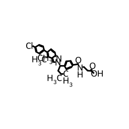 Cc1cc(Cl)ccc1-c1ccc2nn(C(CC(C)C)c3ccc(C(=O)NCCC(=O)O)cc3)cc2c1C